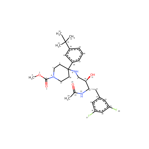 COC(=O)N1CCC(NC[C@@H](O)[C@H](Cc2cc(F)cc(F)c2)NC(C)=O)(c2cccc(C(C)(C)C)c2)CC1